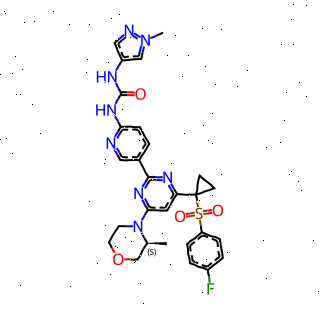 C[C@H]1COCCN1c1cc(C2(S(=O)(=O)c3ccc(F)cc3)CC2)nc(-c2ccc(NC(=O)Nc3cnn(C)c3)nc2)n1